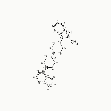 Cc1[nH]c2ccccc2c1C1CCC(N2CCN(c3cccc4[nH]ccc34)CC2)CC1